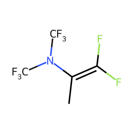 CC(=C(F)F)N(C(F)(F)F)C(F)(F)F